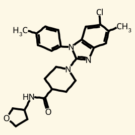 Cc1ccc(-n2c(N3CCC(C(=O)NC4CCOC4)CC3)nc3cc(C)c(Cl)cc32)cc1